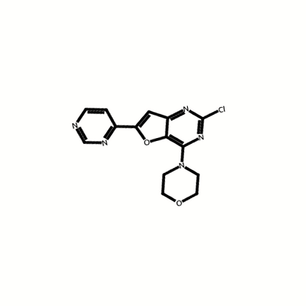 Clc1nc(N2CCOCC2)c2oc(-c3ccncn3)cc2n1